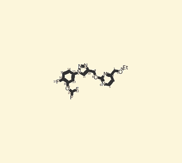 CCOCc1ccnc(OCc2cn(-c3ccc(F)c(OC(F)F)c3)nn2)n1